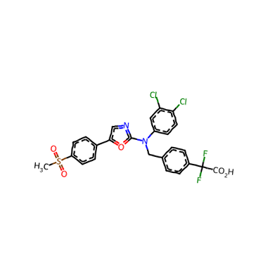 CS(=O)(=O)c1ccc(-c2cnc(N(Cc3ccc(C(F)(F)C(=O)O)cc3)c3ccc(Cl)c(Cl)c3)o2)cc1